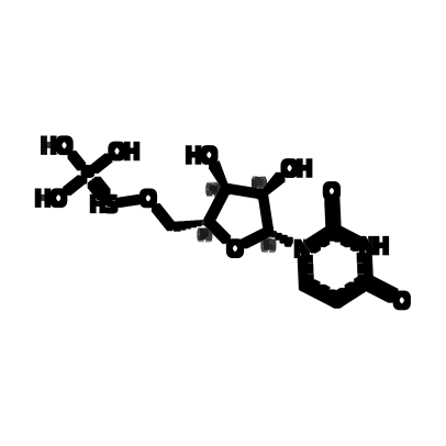 O=c1ccn([C@@H]2O[C@H](CO[SH]=P(O)(O)O)[C@@H](O)[C@H]2O)c(=O)[nH]1